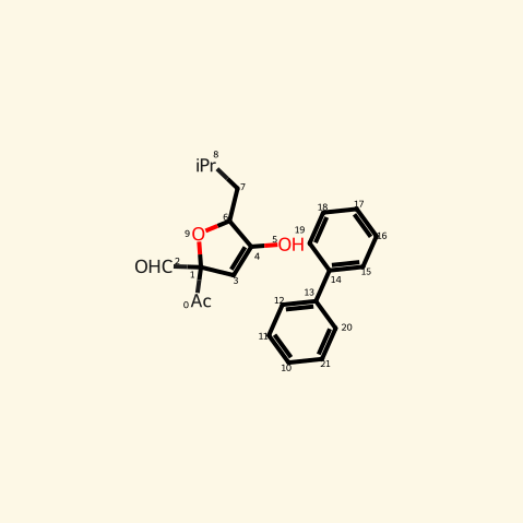 CC(=O)C1(C=O)C=C(O)C(CC(C)C)O1.c1ccc(-c2ccccc2)cc1